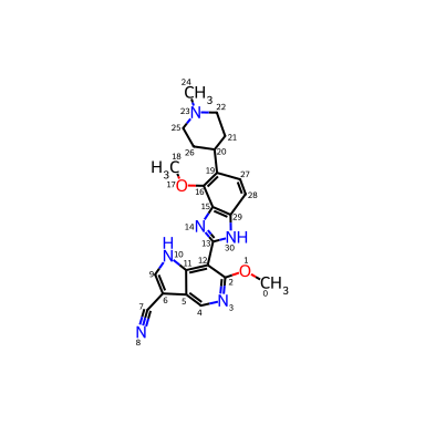 COc1ncc2c(C#N)c[nH]c2c1-c1nc2c(OC)c(C3CCN(C)CC3)ccc2[nH]1